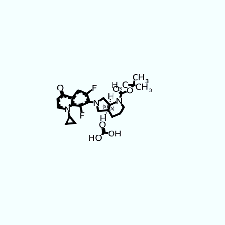 CC(C)(C)OC(=O)N1CCC[C@H]2CN(c3c(F)cc4c(=O)ccn(C5CC5)c4c3F)C[C@H]21.O=C(O)O